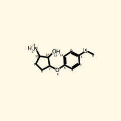 CSc1ccc(OC2CCC(N)C2O)cc1